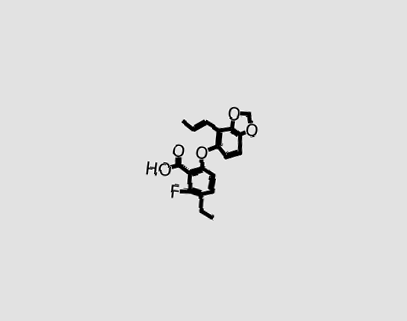 CC=Cc1c(Oc2ccc(CC)c(F)c2C(=O)O)ccc2c1OCO2